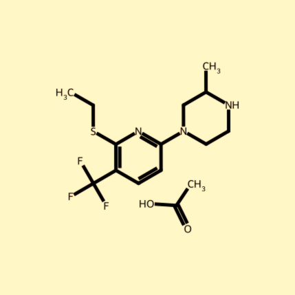 CC(=O)O.CCSc1nc(N2CCNC(C)C2)ccc1C(F)(F)F